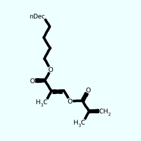 C=C(C)C(=O)OC=C(C)C(=O)OCCCCCCCCCCCCCC